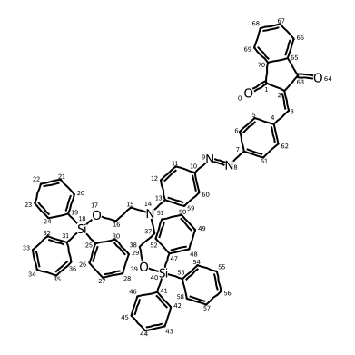 O=C1C(=Cc2ccc(N=Nc3ccc(N(CCO[Si](c4ccccc4)(c4ccccc4)c4ccccc4)CCO[Si](c4ccccc4)(c4ccccc4)c4ccccc4)cc3)cc2)C(=O)c2ccccc21